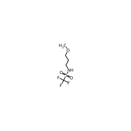 COCCCNS(=O)(=O)C(F)(F)F